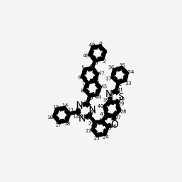 c1ccc(-c2ccc3cc(-c4nc(-c5ccccc5)nc(-c5cccc6oc7cc8sc(-c9ccccc9)nc8cc7c56)n4)ccc3c2)cc1